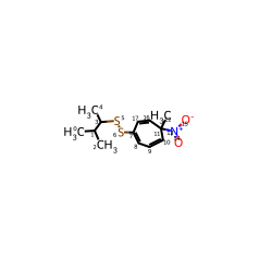 CC(C)C(C)SSC1=CC=CC(C)([N+](=O)[O-])C=C1